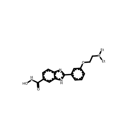 CCN(CC)CCOc1cccc(-c2nc3ccc(C(=O)NO)cc3[nH]2)c1